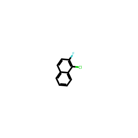 Fc1ccc2ccccc2c1Cl